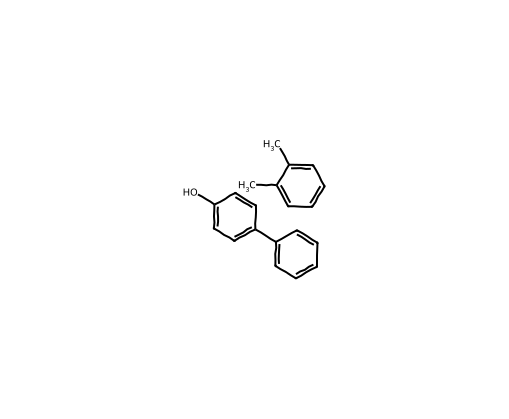 Cc1ccccc1C.Oc1ccc(-c2ccccc2)cc1